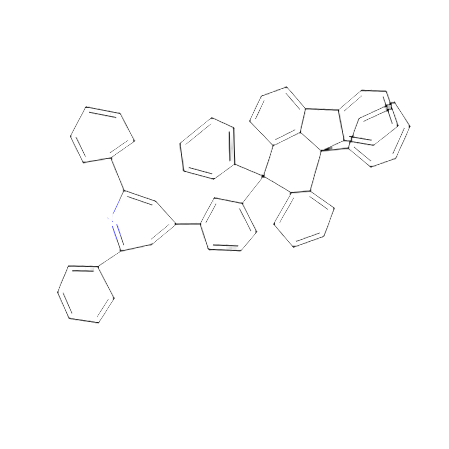 c1ccc(-c2cc(-c3cccc(C4(c5ccccc5)c5ccccc5C5(c6ccccc6)c6ccccc6-c6cccc4c65)c3)cc(-c3ccccc3)n2)cc1